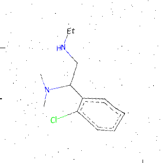 CCNCC(c1ccccc1Cl)N(C)C